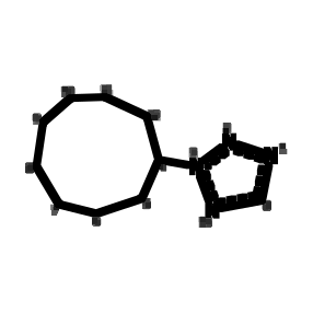 c1nnn(C2CCCCCCCC2)n1